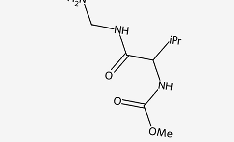 COC(=O)NC(C(=O)NCN)C(C)C